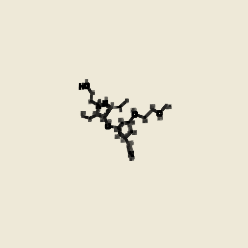 CCc1nn(CCO)c(CC)c1Oc1cc(C#N)cc(OCCOC)c1